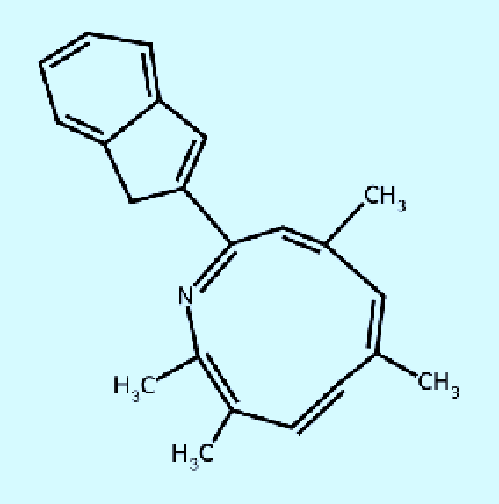 Cc1ccc(C)c(C)nc(C2=Cc3ccccc3C2)cc(C)c1